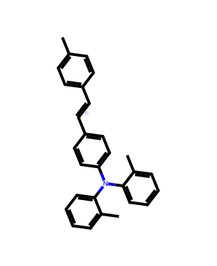 Cc1ccc(/C=C/c2ccc(N(c3ccccc3C)c3ccccc3C)cc2)cc1